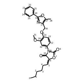 CCCCCC=C1OC(=O)N(c2ccc(OCc3nc(-c4ccccc4)oc3C)c(OC)c2)C1=O